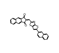 O=C1C(=Cc2nc3sc(-c4ccc5ccccc5c4)cc3s2)C(=O)c2cc3ccccc3cc21